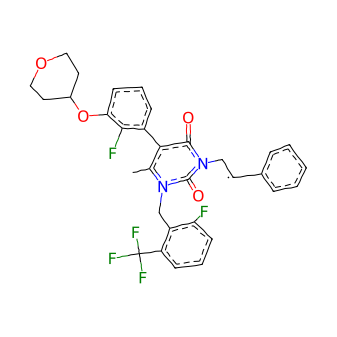 Cc1c(-c2cccc(OC3CCOCC3)c2F)c(=O)n(C[CH]c2ccccc2)c(=O)n1Cc1c(F)cccc1C(F)(F)F